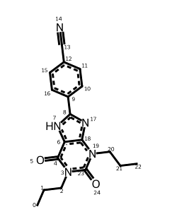 CCCn1c(=O)c2[nH]c(-c3ccc(C#N)cc3)nc2n(CCC)c1=O